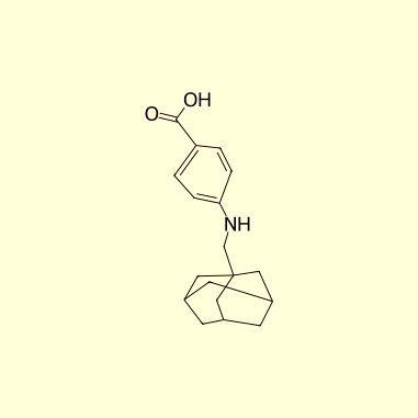 O=C(O)c1ccc(NCC23CC4CC(CC(C4)C2)C3)cc1